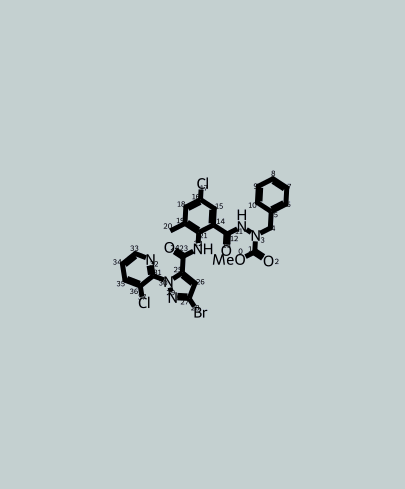 COC(=O)N(Cc1ccccc1)NC(=O)c1cc(Cl)cc(C)c1NC(=O)c1cc(Br)nn1-c1ncccc1Cl